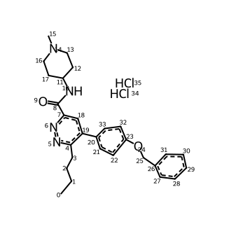 CCCCc1nnc(C(=O)NC2CCN(C)CC2)cc1-c1ccc(OCc2ccccc2)cc1.Cl.Cl